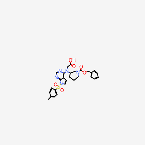 Cc1ccc(S(=O)(=O)n2ccc3c(N(CC(=O)O)C4CCCN(C(=O)OCc5ccccc5)C4)ncnc32)cc1